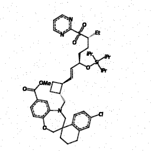 CC[C@H](CC[C@H](/C=C/[C@@H]1CC[C@H]1CN1CC2(CCCc3cc(Cl)ccc32)COc2ccc(C(=O)OC)cc21)O[Si](C(C)C)(C(C)C)C(C)C)S(=O)(=O)c1ncccn1